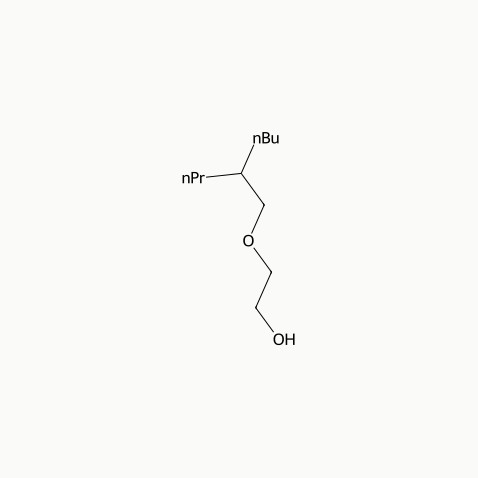 CCCCC(CCC)COCCO